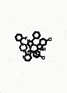 C[C@@H](c1ccc(Cl)cc1)n1cnc(-c2ccccc2)c1-c1c(C(=O)Nc2cccnc2N2CCN(c3ccccc3F)CC2)[nH]c2cc(Cl)ccc12